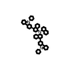 c1ccc(-n2c3ccccc3c3cc(-c4ccc(N(c5cccc6ccccc56)c5ccc(-c6ccc7c8ccccc8n(-c8ccccc8)c7c6)c6ccccc56)c5ccccc45)ccc32)cc1